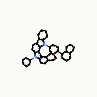 c1ccc(-n2c3ccc4ccccc4c3c3c2ccc2c4ccccc4n(-c4ccc(-c5cccc6ccccc56)cc4)c23)cc1